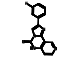 O=c1[nH]c2ccncc2c2nc(-c3cccc(F)c3)cn12